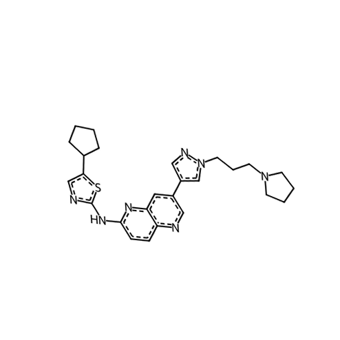 c1nc2ccc(Nc3ncc(C4CCCC4)s3)nc2cc1-c1cnn(CCCN2CCCC2)c1